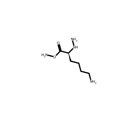 NCCCC[C@H](NN)C(=O)ON